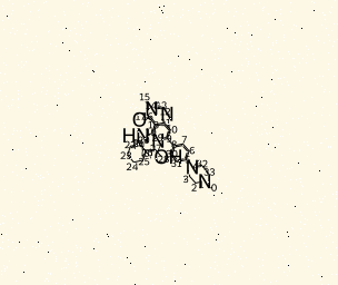 CN1CCN(c2ccc(-c3cc4ncn(C)c(=O)c4c(N[C@@H]4CCCC[C@@H]4CO)n3)cc2)CC1